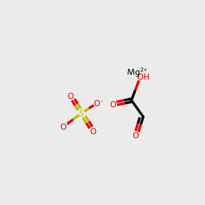 O=CC(=O)O.O=S(=O)([O-])[O-].[Mg+2]